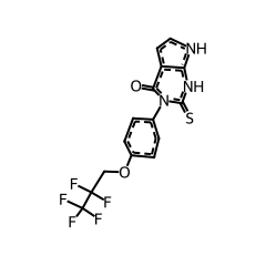 O=c1c2cc[nH]c2[nH]c(=S)n1-c1ccc(OCC(F)(F)C(F)(F)F)cc1